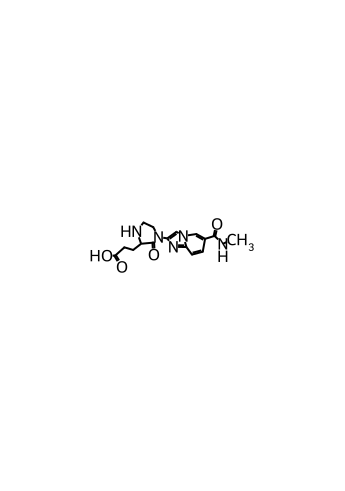 CNC(=O)c1ccc2nc(N3CCNC(CCC(=O)O)C3=O)cn2c1